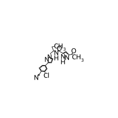 CCC(Cn1ccc(-c2ccc(C#N)c(Cl)c2)n1)NC(=O)c1cc(C(C)=O)n[nH]1